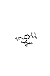 CCCc1ccc(N(C)C)cc1N1C(=N)SCC1=O